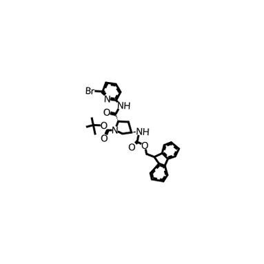 CC(C)(C)OC(=O)N1C[C@@H](NC(=O)OCC2c3ccccc3-c3ccccc32)C[C@H]1C(=O)Nc1cccc(Br)n1